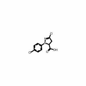 O=C(O)C1CC(Cl)=NN1c1ccc(Cl)cc1